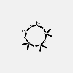 C[Si]1(C)O[SiH2]O[SiH2]O[Si](C)(C)O[Si](C)(C)O1